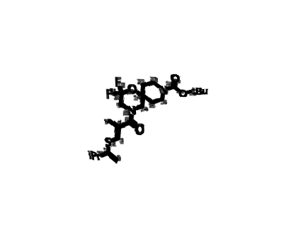 C=C(S/C=C(\C)C(=O)N1CC(F)(F)OC2(CCN(C(=O)OC(C)(C)C)CC2)C1)C(C)C